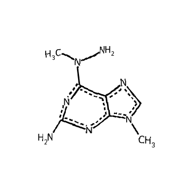 CN(N)c1nc(N)nc2c1ncn2C